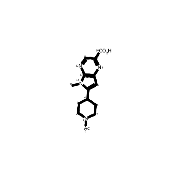 CC(=O)N1CCC(c2cc3nc(C(=O)O)cnc3n2C)CC1